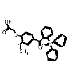 C=P(c1ccccc1)(c1ccccc1)c1ccccc1C(=O)c1ccc(OCC(=O)O)c(OC)c1